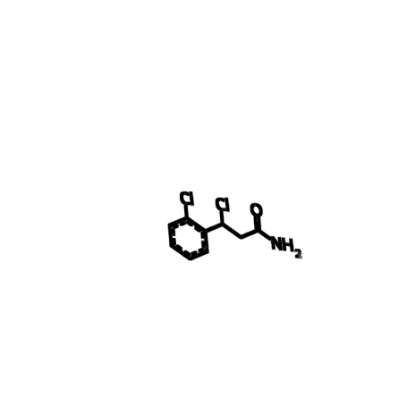 NC(=O)CC(Cl)c1ccccc1Cl